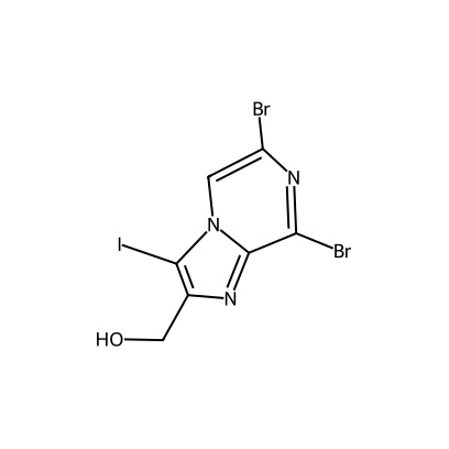 OCc1nc2c(Br)nc(Br)cn2c1I